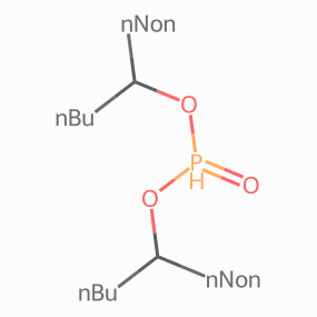 CCCCCCCCCC(CCCC)O[PH](=O)OC(CCCC)CCCCCCCCC